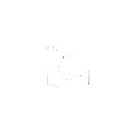 NC(=O)c1occc1C1CC1